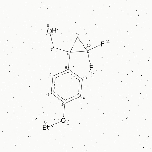 CCOc1ccc(C2(CO)CC2(F)F)cc1